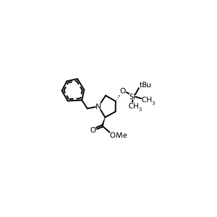 COC(=O)[C@@H]1C[C@@H](O[Si](C)(C)C(C)(C)C)CN1Cc1ccccc1